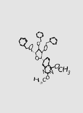 COc1nc(OC)c2ccc([C@@H]3O[C@H](COCc4ccccc4)[C@@H](OCc4ccccc4)[C@H]3OCc3ccccc3)cc2n1